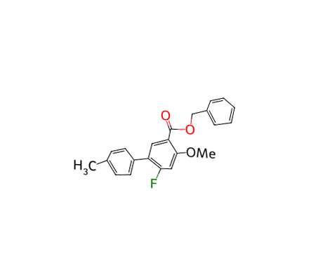 COc1cc(F)c(-c2ccc(C)cc2)cc1C(=O)OCc1ccccc1